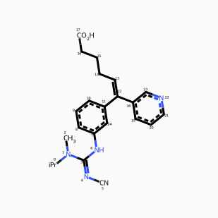 CC(C)N(C)/C(=N/C#N)Nc1cccc(/C(=C\CCCC(=O)O)c2cccnc2)c1